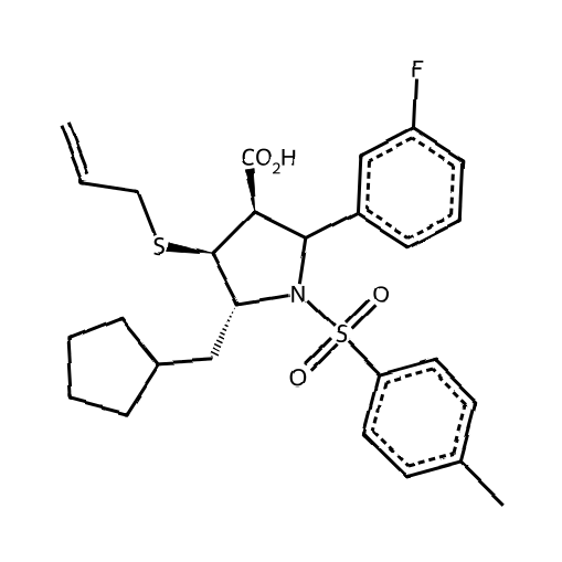 C=CCS[C@@H]1[C@@H](CC2CCCC2)N(S(=O)(=O)c2ccc(C)cc2)C(c2cccc(F)c2)[C@@H]1C(=O)O